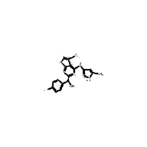 Cc1cc(Nc2nc(C(O)c3ccc(F)cc3)nc3scc(C)c23)n[nH]1